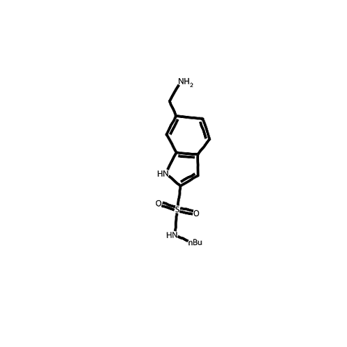 CCCCNS(=O)(=O)c1cc2ccc(CN)cc2[nH]1